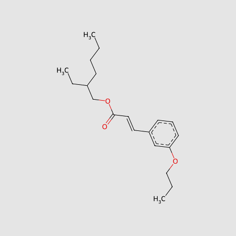 CCCCC(CC)COC(=O)C=Cc1cccc(OCCC)c1